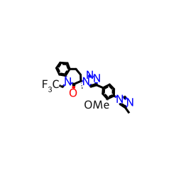 COc1cc(-c2cn([C@]3(C)CCc4ccccc4N(CC(F)(F)F)C3=O)nn2)ccc1-n1cnc(C)c1